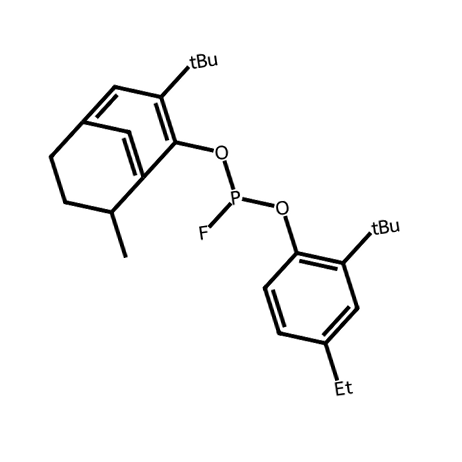 CCc1ccc(OP(F)Oc2c3cc(cc2C(C)(C)C)CCC3C)c(C(C)(C)C)c1